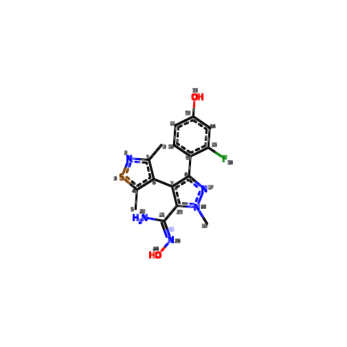 Cc1nsc(C)c1-c1c(-c2ccc(O)cc2F)nn(C)c1/C(N)=N/O